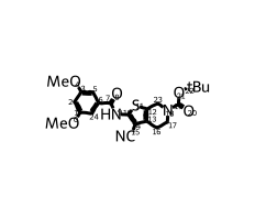 COc1cc(OC)cc(C(=O)Nc2sc3c(c2C#N)CCN(C(=O)OC(C)(C)C)C3)c1